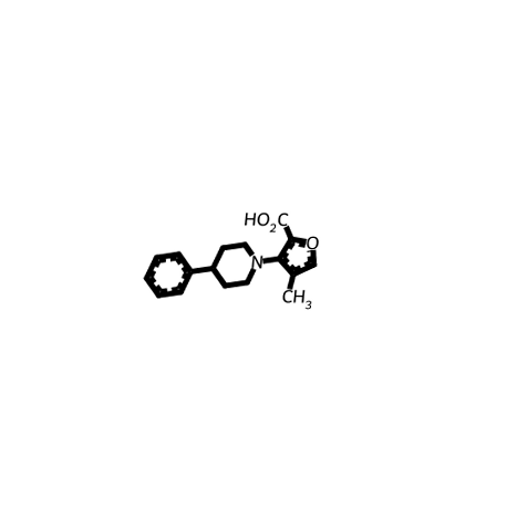 Cc1coc(C(=O)O)c1N1CCC(c2ccccc2)CC1